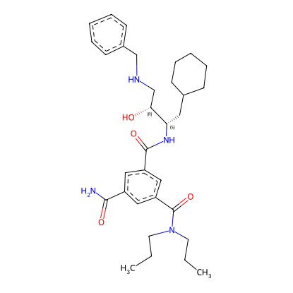 CCCN(CCC)C(=O)c1cc(C(N)=O)cc(C(=O)N[C@@H](CC2CCCCC2)[C@H](O)CNCc2ccccc2)c1